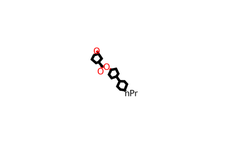 CCCC1CCC(C2CCC(OC(=O)C3CCC4OC4C3)CC2)CC1